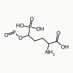 NC(CCC(OP=O)P(=O)(O)O)C(=O)O